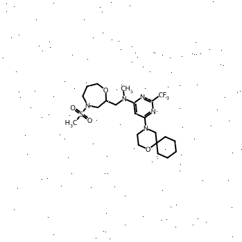 CN(CC1CN(S(C)(=O)=O)CCCO1)c1cc(N2CCOC3(CCCCC3)C2)nc(C(F)(F)F)n1